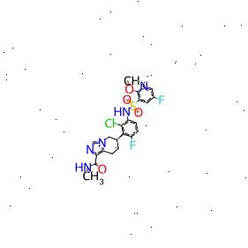 CNC(=O)c1ncn2c1CC[C@H](c1c(F)ccc(NS(=O)(=O)c3cc(F)cnc3OC)c1Cl)C2